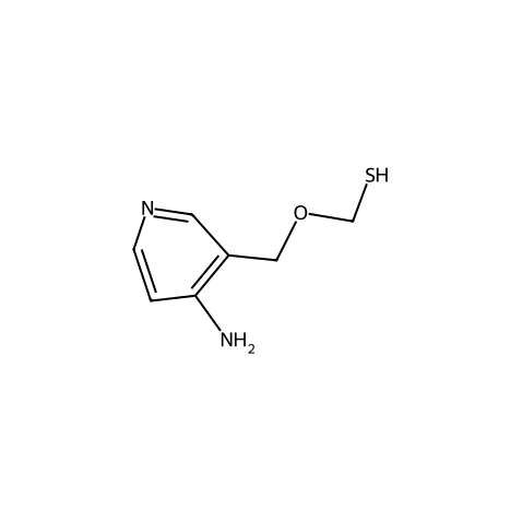 Nc1ccncc1COCS